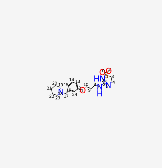 O=S1(=O)CCN=C(NCCCOc2cccc(CN3CCCCC3)c2)N1